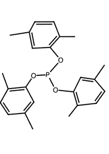 Cc1ccc(C)c(OP(Oc2cc(C)ccc2C)Oc2cc(C)ccc2C)c1